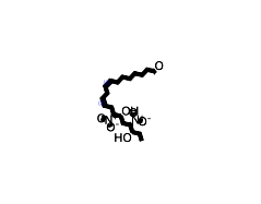 CCC(O)C(CC(O)C(C/C=C\C/C=C\CCCCCC[C]=O)[N+](=O)[O-])[N+](=O)[O-]